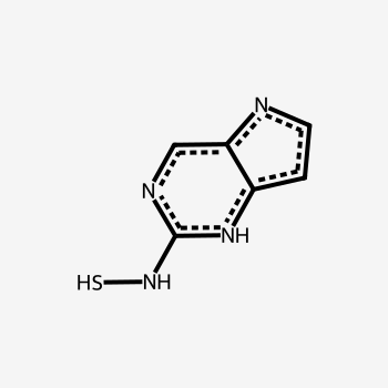 SNc1ncc2nccc-2[nH]1